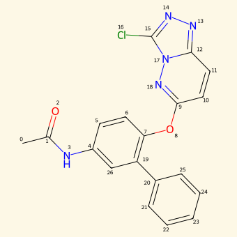 CC(=O)Nc1ccc(Oc2ccc3nnc(Cl)n3n2)c(-c2ccccc2)c1